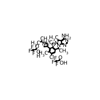 COc1c(C(C)n2nc(C)c3c(N)ncnc32)cc(Cl)c(C)c1C1CN(C(C)C)C1.O=C(O)C(F)(F)F.O=C(O)C(F)(F)F